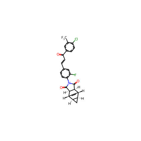 O=C(/C=C/c1ccc(N2C(=O)[C@@H]3[C@@H]4C=C[C@@H]([C@H]5C[C@@H]45)[C@@H]3C2=O)c(F)c1)c1ccc(Cl)c(C(F)(F)F)c1